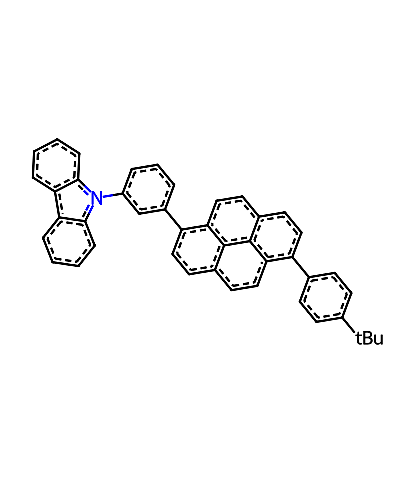 CC(C)(C)c1ccc(-c2ccc3ccc4c(-c5cccc(-n6c7ccccc7c7ccccc76)c5)ccc5ccc2c3c54)cc1